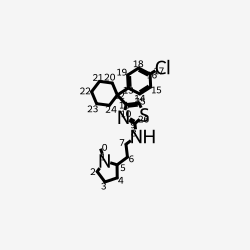 CN1CCCC1CCNc1nc(C2(c3ccc(Cl)cc3)CCCCC2)cs1